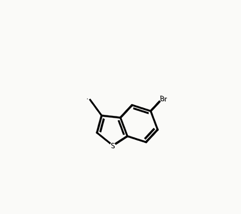 [CH2]c1csc2ccc(Br)cc12